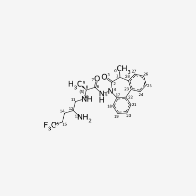 CC1C(=O)N(NC(=O)[C@H](C)NCC(N)CCC(F)(F)F)c2ccccc2-c2ccccc21